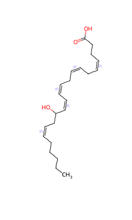 CCCCC/C=C\CC(O)/C=C\C=C/C/C=C\C/C=C\CCC(=O)O